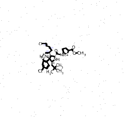 COC(=O)c1ccc(NC(=O)[C@@H]2N[C@@H](CC(C)(C)C)[C@](N)(c3ccc(Cl)cc3F)[C@H]2C(/C=C\C=C\Cl)=C\F)s1